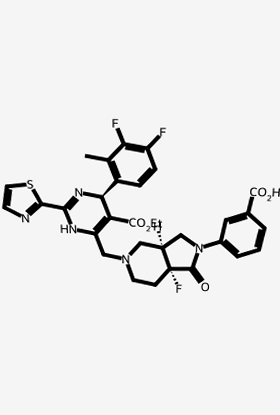 CCOC(=O)C1=C(CN2CC[C@]3(F)C(=O)N(c4cccc(C(=O)O)c4)C[C@@H]3C2)NC(c2nccs2)=N[C@H]1c1ccc(F)c(F)c1C